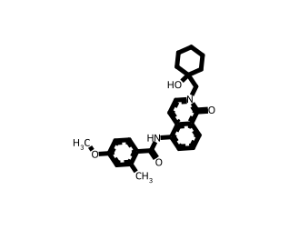 COc1ccc(C(=O)Nc2cccc3c(=O)n(CC4(O)CCCCC4)ccc23)c(C)c1